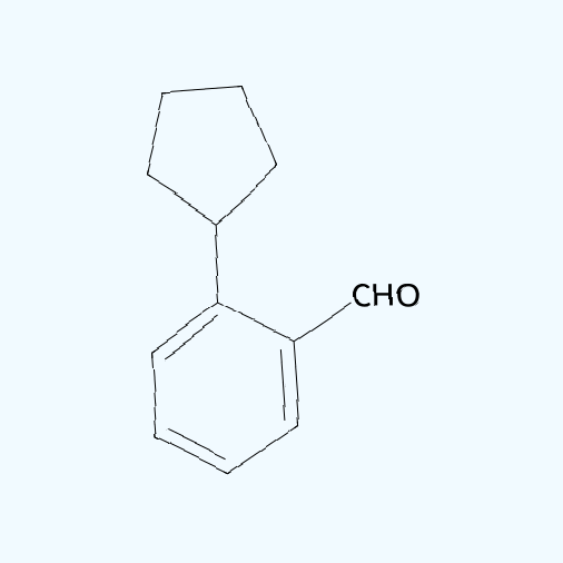 O=Cc1ccccc1C1CCCC1